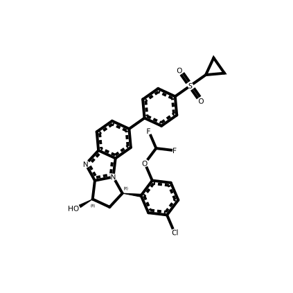 O=S(=O)(c1ccc(-c2ccc3nc4n(c3c2)[C@@H](c2cc(Cl)ccc2OC(F)F)C[C@H]4O)cc1)C1CC1